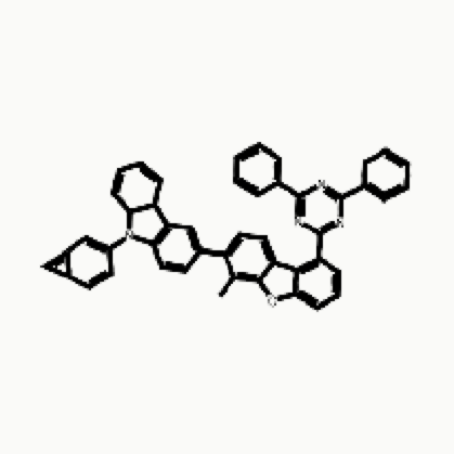 Cc1c(-c2ccc3c(c2)C2C=CC=CC2N3C2=CC3=CC3C=C2)ccc2c1oc1cccc(-c3nc(C4=C=CC=CC4)nc(-c4ccccc4)n3)c12